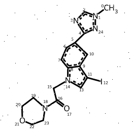 Cn1cnc(-c2ccc3c(c2)c(I)cn3CC(=O)N2CCOCC2)n1